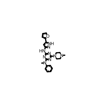 CN1CCN(c2nc(Nc3cc(-c4ccco4)[nH]n3)nc(N(C)c3ccccc3)n2)CC1